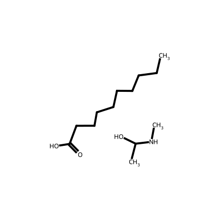 CCCCCCCCCC(=O)O.CNC(C)O